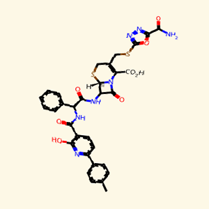 Cc1ccc(-c2ccc(C(=O)NC(C(=O)NC3C(=O)N4C(C(=O)O)=C(CSc5nnc(C(N)=O)o5)CS[C@@H]34)c3ccccc3)c(O)n2)cc1